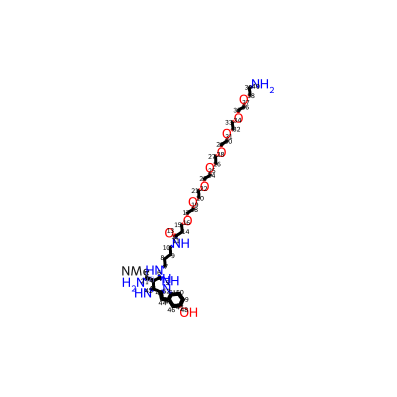 CN/C(N)=C(\C(=N)NCCCCNC(=O)CCOCCOCCOCCOCCOCCOCCOCCOCCN)C(=N)c1cc2cc(O)ccc2[nH]1